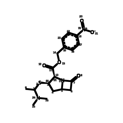 CC(S[C@@H]1CC2CC(=O)N2[C@@H]1C(=O)OCc1ccc([N+](=O)[O-])cc1)N(C)C